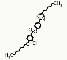 CCCCCCCOc1ccc(C(=O)Oc2ccc(-c3ncc(CCCCCC)cn3)cc2)cc1Cl